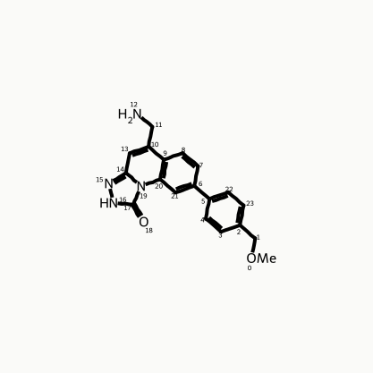 COCc1ccc(-c2ccc3c(CN)cc4n[nH]c(=O)n4c3c2)cc1